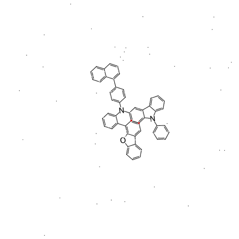 c1ccc(-n2c3ccccc3c3cc(N(c4ccc(-c5cccc6ccccc56)cc4)c4ccccc4-c4cccc5c4oc4ccccc45)ccc32)cc1